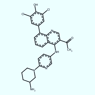 CC(=O)c1cnc2c(-c3cc(Cl)c(O)c(Cl)c3)cccc2c1Nc1ccc(N2CCCC(N)C2)nc1